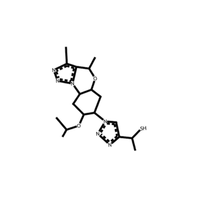 Cc1nnn2c1C(C)OC1CC(n3cc(C(C)S)nn3)C(OC(C)C)CC12